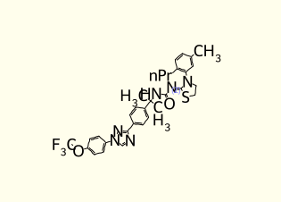 CCCc1ccc(C)cc1N1CCS/C1=N\C(=O)NC(C)(C)c1ccc(-c2ncn(-c3ccc(OC(F)(F)F)cc3)n2)cc1